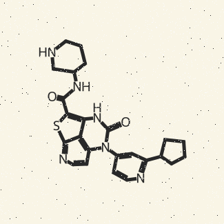 O=C(NC1CCCNC1)c1sc2nccc3c2c1NC(=O)N3c1ccnc(C2CCCC2)c1